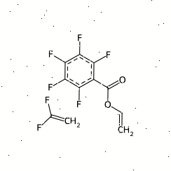 C=C(F)F.C=COC(=O)c1c(F)c(F)c(F)c(F)c1F